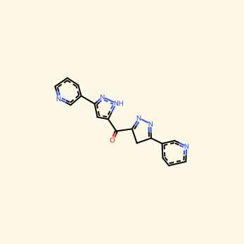 O=C(C1=NN=C(c2cccnc2)C1)c1cc(-c2cccnc2)n[nH]1